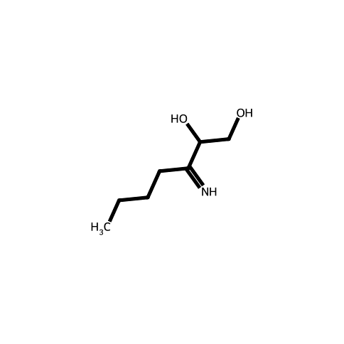 CCCCC(=N)C(O)CO